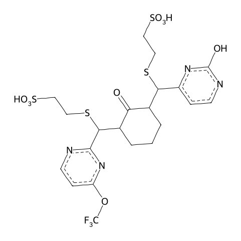 O=C1C(C(SCCS(=O)(=O)O)c2ccnc(O)n2)CCCC1C(SCCS(=O)(=O)O)c1nccc(OC(F)(F)F)n1